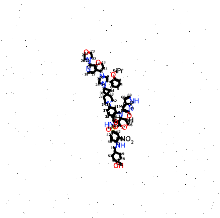 CC(C)Oc1ccccc1[C@H]1CN([C@H]2CCOc3c2ccnc3N2CCOCC2)CCN1C1CC2(CCN(c3ccc(C(=O)NS(=O)(=O)c4ccc(NCC5CCC(C)(O)CC5)c([N+](=O)[O-])c4)c(N4c5cc6cc[nH]c6nc5O[C@H]5COCC[C@@H]54)c3)CC2)C1